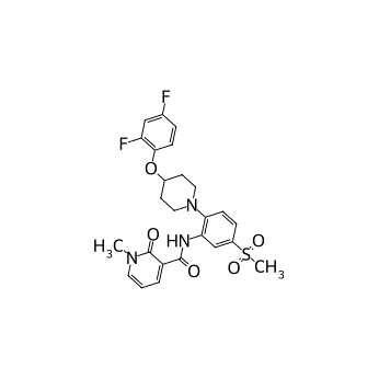 Cn1cccc(C(=O)Nc2cc(S(C)(=O)=O)ccc2N2CCC(Oc3ccc(F)cc3F)CC2)c1=O